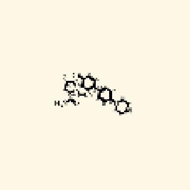 C[C@H]1C[C@@H](C(N)=O)[N+](CC#N)(c2cc(-c3ccc(N4CCNCC4)cc3)ccc2Cl)C1